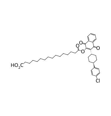 O=C(O)CCCCCCCCCCCCCCC(=O)OC1=C([C@H]2CC[C@H](c3ccc(Cl)cc3)CC2)C(=O)c2ccccc2C1=O